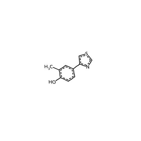 Cc1cc(-c2cscn2)ccc1O